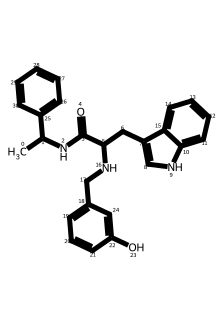 CC(NC(=O)C(Cc1c[nH]c2ccccc12)NCc1cccc(O)c1)c1ccccc1